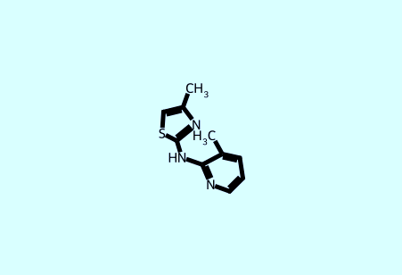 Cc1csc(Nc2ncccc2C)n1